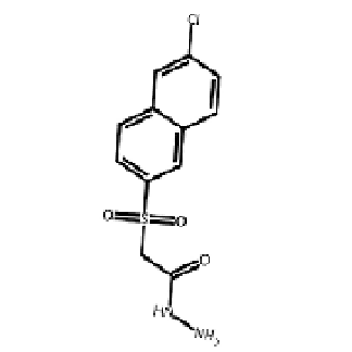 NNC(=O)CS(=O)(=O)c1ccc2cc(Cl)ccc2c1